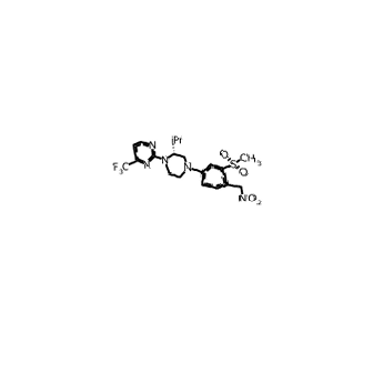 CC(C)[C@@H]1CN(c2ccc(C[N+](=O)[O-])c(S(C)(=O)=O)c2)CCN1c1nccc(C(F)(F)F)n1